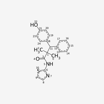 CC(C)(C(=O)Nc1nccs1)C(c1ccccc1)c1ccc(O)cc1